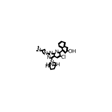 CN(C)C1CN(c2nc(N3C[C@H]4CC[C@@H](C3)N4)c3cc(Cl)c(-c4cc(O)cc5ccccc45)nc3n2)C1